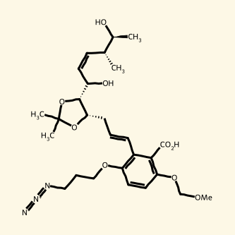 COCOc1ccc(OCCCN=[N+]=[N-])c(/C=C/C[C@@H]2OC(C)(C)O[C@@H]2C(O)/C=C\[C@@H](C)[C@H](C)O)c1C(=O)O